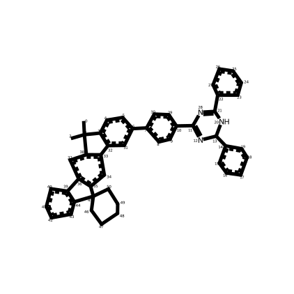 CC1(C)c2ccc(-c3ccc(C4=NC(c5ccccc5)NC(c5ccccc5)=N4)cc3)cc2-c2cc3c(cc21)-c1ccccc1C31CCCCC1